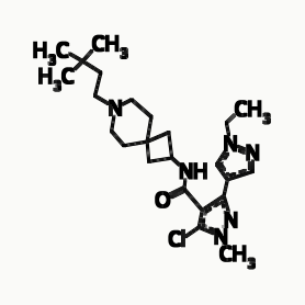 CCn1cc(-c2nn(C)c(Cl)c2C(=O)NC2CC3(CCN(CCC(C)(C)C)CC3)C2)cn1